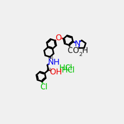 Cl.Cl.O=C(O)c1cc(Oc2ccc3c(c2)C[C@@H](NC[C@@H](O)c2cccc(Cl)c2)CC3)ccc1N1CCCC1